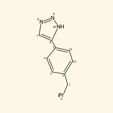 CC(C)Cc1ccc(-c2cnn[nH]2)cc1